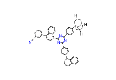 N#Cc1cccc(-c2ccc(-c3nc(-c4ccc(-c5cccc6ccccc56)cc4)nc(-c4ccc(C56C[C@H]7C[C@H](C5)C[C@@H](C6)C7)cc4)n3)c3ccccc23)c1